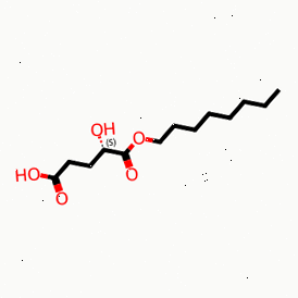 CCCCCCCCOC(=O)[C@@H](O)CCC(=O)O